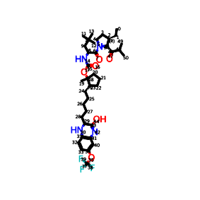 CC[C@@H]1CCN(C(=O)C(CC(C)(C)C)NC(=O)OC2(C)CCC[C@H]2CCCCCC2Nc3ccc(OC(F)(F)F)cc3N=C2O)[C@@H]1C(=O)C(C)C